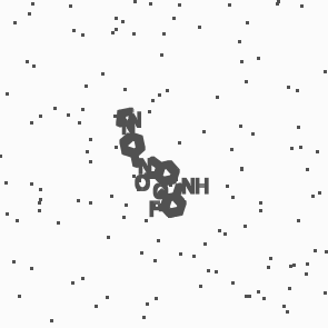 N=Cc1cccc(F)c1Oc1cccc2c1C(=O)N(Cc1ccc(-n3cccn3)cc1)C2